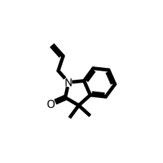 C=CCN1C(=O)C(C)(C)c2ccccc21